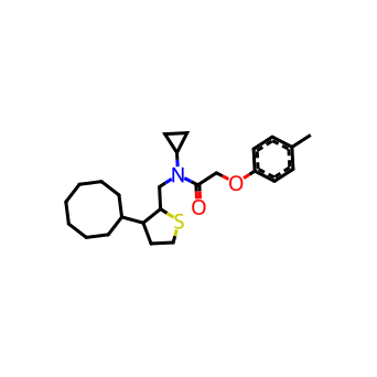 Cc1ccc(OCC(=O)N(CC2SCCC2C2CCCCCCC2)C2CC2)cc1